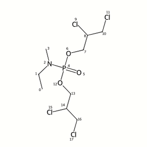 CCN(C)P(=O)(OCC(Cl)CCl)OCC(Cl)CCl